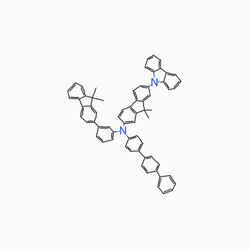 CC1(C)c2ccccc2-c2ccc(-c3cccc(N(c4ccc(-c5ccc(-c6ccccc6)cc5)cc4)c4ccc5c(c4)C(C)(C)c4cc(-n6c7ccccc7c7ccccc76)ccc4-5)c3)cc21